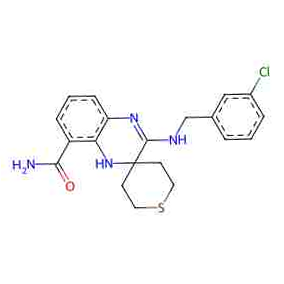 NC(=O)c1cccc2c1NC1(CCSCC1)C(NCc1cccc(Cl)c1)=N2